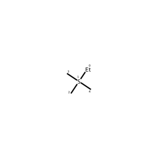 [CH2]CS(C)(C)C